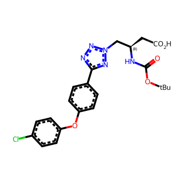 CC(C)(C)OC(=O)N[C@H](CC(=O)O)Cn1nnc(-c2ccc(Oc3ccc(Cl)cc3)cc2)n1